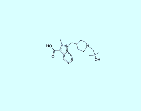 Cc1c(C(=O)O)c2ccccc2n1CC1CCN(CC(C)(C)O)CC1